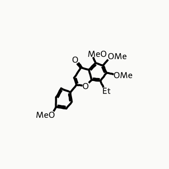 CCc1c(OC)c(OC)c(OC)c2c(=O)cc(-c3ccc(OC)cc3)oc12